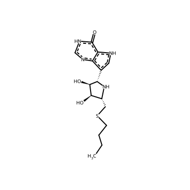 CCCCSC[C@H]1N[C@@H](c2c[nH]c3c(=O)[nH]cnc23)[C@H](O)[C@@H]1O